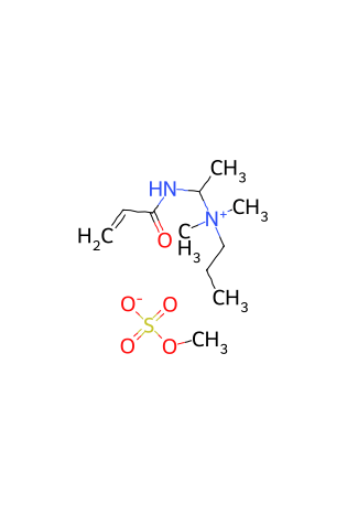 C=CC(=O)NC(C)[N+](C)(C)CCC.COS(=O)(=O)[O-]